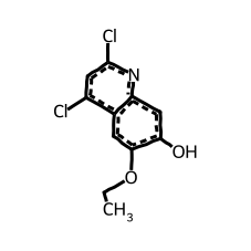 CCOc1cc2c(Cl)cc(Cl)nc2cc1O